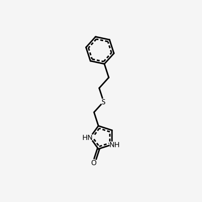 O=c1[nH]cc(CSCCc2ccccc2)[nH]1